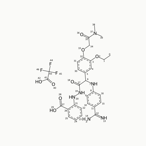 CCOc1cc(C(Nc2ccc(C(=N)N)cc2)C(=O)NNc2ccccc2C(=O)O)ccc1OCC(=O)N(C)C.O=C(O)C(F)(F)F